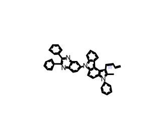 C=C/C=C\c1c(C)n(-c2ccccc2)c2ccc3c(c4ccccc4n3-c3ccc4nc(-c5ccccc5)c(-c5ccccc5)nc4c3)c12